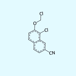 N#Cc1ccc2ccc(OCCl)c(Cl)c2c1